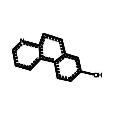 Oc1ccc2c(ccc3ncccc32)c1